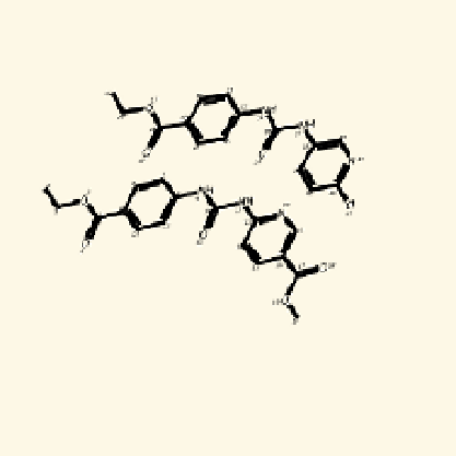 CCOC(=O)c1ccc(NC(=O)Nc2ccc(C(=O)OC)cn2)cc1.CCOC(=O)c1ccc(NC(=O)Nc2ccc(Cl)nc2)cc1